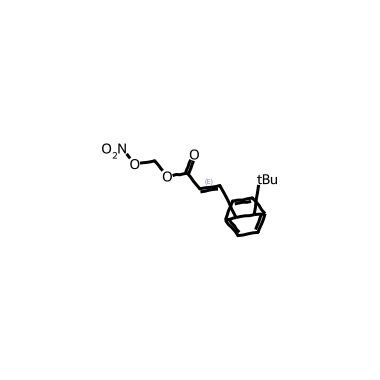 CC(C)(C)C1c2ccc(cc2)C1/C=C/C(=O)OCO[N+](=O)[O-]